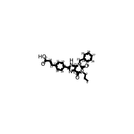 CCCn1c(=O)c2nc(-c3ccc(/C=C/C(=O)O)cc3)[nH]c2n(Cc2ccccc2)c1=O